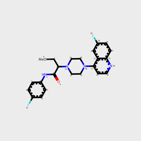 COCC(C(=O)Nc1ccc(F)cc1)N1CCN(c2ccnc3ccc(F)cc23)CC1